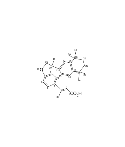 CC(=CC(=O)O)c1ccc2c(c1)C(C)(c1ccc3c(c1)C(C)(C)CCC3(C)C)CO2